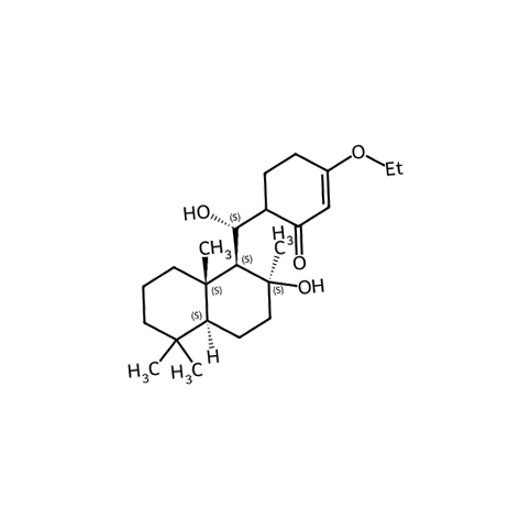 CCOC1=CC(=O)C([C@@H](O)[C@@H]2[C@@]3(C)CCCC(C)(C)[C@@H]3CC[C@]2(C)O)CC1